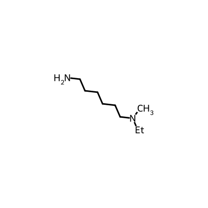 CCN(C)CCCCCCN